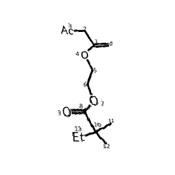 C=C(CC(C)=O)OCCOC(=O)C(C)(C)CC